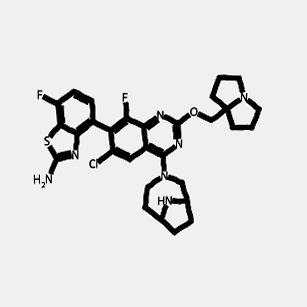 Nc1nc2c(-c3c(Cl)cc4c(N5CCC6CCC(C5)N6)nc(OCC56CCCN5CCC6)nc4c3F)ccc(F)c2s1